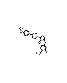 COc1ccc(C2CCN(C3CCN(Cc4ccc(C)c(F)c4)C3=O)CC2)cc1